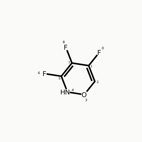 FC1=CONC(F)=C1F